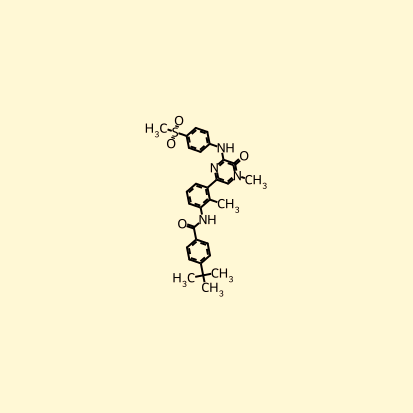 Cc1c(NC(=O)c2ccc(C(C)(C)C)cc2)cccc1-c1cn(C)c(=O)c(Nc2ccc(S(C)(=O)=O)cc2)n1